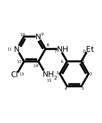 CCc1ccccc1Nc1ncnc(Cl)c1N